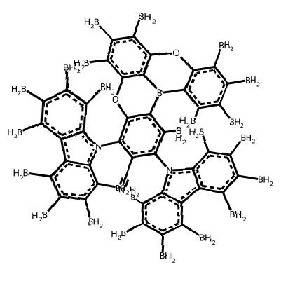 Bc1c(B)c(B)c2c(c1B)Oc1c(B)c(B)c(B)c3c1B2c1c(B)c(-n2c4c(B)c(B)c(B)c(B)c4c4c(B)c(B)c(B)c(B)c42)c(C#N)c(-n2c4c(B)c(B)c(B)c(B)c4c4c(B)c(B)c(B)c(B)c42)c1O3